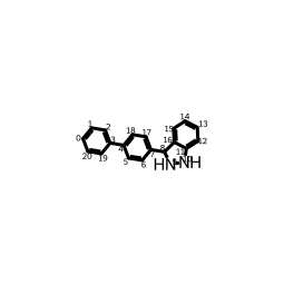 c1ccc(-c2ccc(C3NNc4ccccc43)cc2)cc1